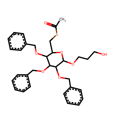 CC(=O)SCC1OC(OCCCO)C(OCc2ccccc2)C(OCc2ccccc2)C1OCc1ccccc1